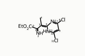 CCOC(=O)C(=N)/C(C)=C1/N=C(Cl)C=C(Cl)N1